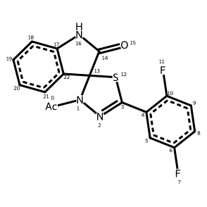 CC(=O)N1N=C(c2cc(F)ccc2F)SC12C(=O)Nc1ccccc12